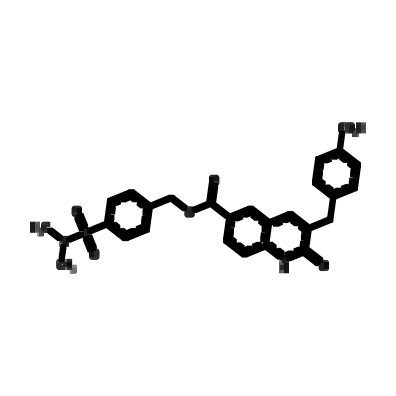 CN(C)S(=O)(=O)c1ccc(COC(=O)c2ccc3[nH]c(=O)c(Cc4ccc(C(=O)O)cc4)cc3c2)cc1